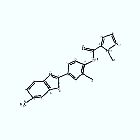 Cc1cc(-c2nc3ccc(C(F)(F)F)cc3s2)ccc1NC(=O)c1ccnn1C